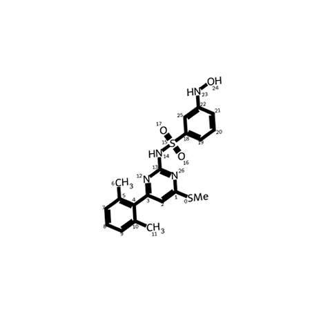 CSc1cc(-c2c(C)cccc2C)nc(NS(=O)(=O)c2cccc(NO)c2)n1